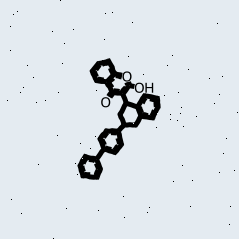 O=c1c(C2CC(c3ccc(-c4ccccc4)cc3)Cc3ccccc32)c(O)oc2ccccc12